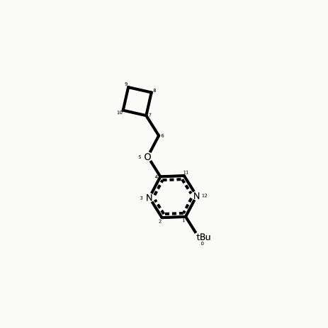 CC(C)(C)c1cnc(OCC2CCC2)cn1